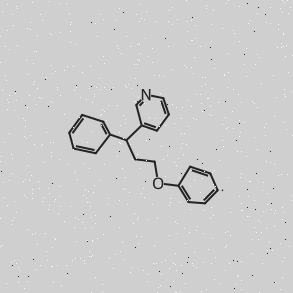 [c]1ccc(OCCC(c2ccccc2)c2cccnc2)cc1